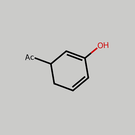 CC(=O)C1C=C(O)C=CC1